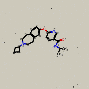 CC(C)NC(=O)c1ccc(Oc2ccc3c(c2)CCN(C2CCC2)CC3)nc1